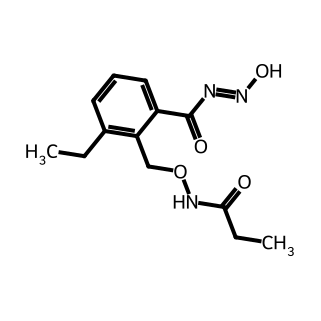 CCC(=O)NOCc1c(CC)cccc1C(=O)N=NO